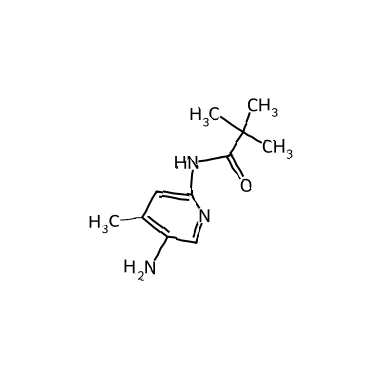 Cc1cc(NC(=O)C(C)(C)C)ncc1N